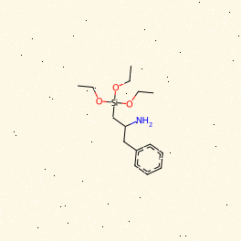 CCO[Si](CC(N)Cc1ccccc1)(OCC)OCC